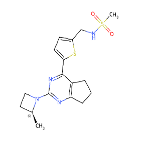 C[C@H]1CCN1c1nc2c(c(-c3ccc(CNS(C)(=O)=O)s3)n1)CCC2